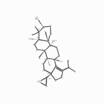 CC(C)C1=C2[C@H]3CC[C@@H]4[C@@]5(C)CC[C@H](O)C(C)(C)[C@@H]5CC[C@@]4(C)[C@]3(C)CC[C@@]2(C2CO2)CC1